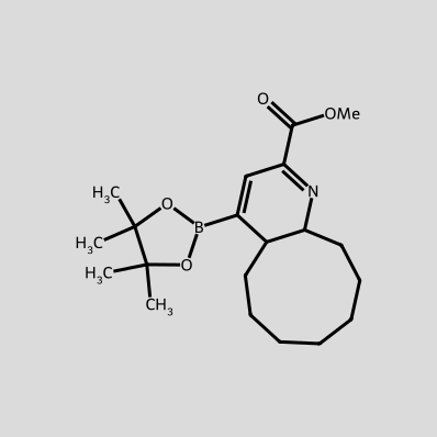 COC(=O)C1=NC2CCCCCCCC2C(B2OC(C)(C)C(C)(C)O2)=C1